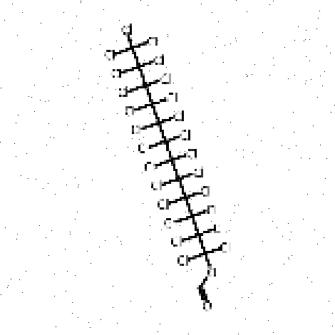 O=[C]OC(Cl)(Cl)C(Cl)(Cl)C(Cl)(Cl)C(Cl)(Cl)C(Cl)(Cl)C(Cl)(Cl)C(Cl)(Cl)C(Cl)(Cl)C(Cl)(Cl)C(Cl)(Cl)C(Cl)(Cl)C(Cl)(Cl)Cl